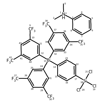 C[NH+](C)c1ccccc1.FC(F)(F)c1cc([B-](c2ccc([Si](Cl)(Cl)Cl)cc2)(c2cc(C(F)(F)F)cc(C(F)(F)F)c2)c2cc(C(F)(F)F)cc(C(F)(F)F)c2)cc(C(F)(F)F)c1